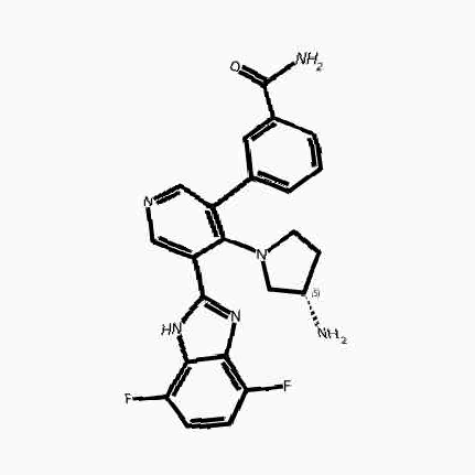 NC(=O)c1cccc(-c2cncc(-c3nc4c(F)ccc(F)c4[nH]3)c2N2CC[C@H](N)C2)c1